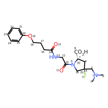 CN(C)C[C@@]1(F)C[C@@H](C(=O)O)N(C(=O)CNC(=O)CCCOc2ccccc2)C1